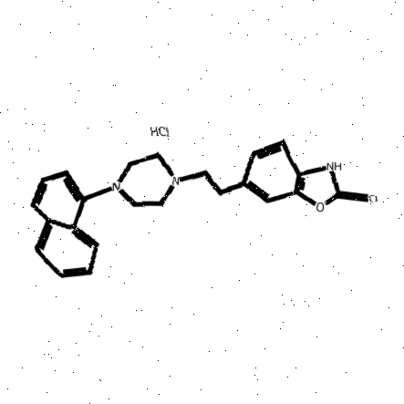 Cl.O=c1[nH]c2ccc(CCN3CCN(c4cccc5ccccc45)CC3)cc2o1